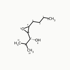 CCCCC1OC1[C@H](O)C(C)C